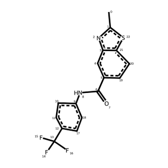 Cc1nc2cc(C(=O)Nc3ccc(C(F)(F)F)cc3)ccc2s1